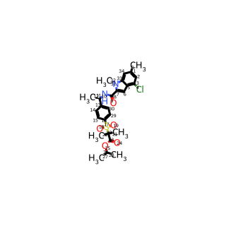 Cc1cc(Cl)c2cc(C(=O)N[C@H](C)c3ccc(S(=O)(=O)C(C)(C)C(=O)OC(C)C)cc3)n(C)c2c1